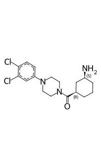 N[C@H]1CCC[C@@H](C(=O)N2CCN(c3ccc(Cl)c(Cl)c3)CC2)C1